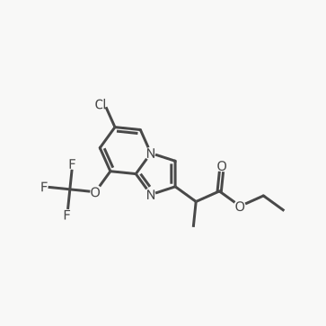 CCOC(=O)C(C)c1cn2cc(Cl)cc(OC(F)(F)F)c2n1